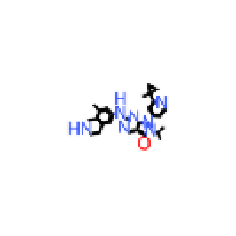 Cc1cc(Nc2ncc3c(=O)n(C(C)C)n(-c4ccnc(C5(C)CC5)c4)c3n2)cc2c1CNCC2